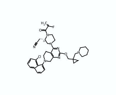 C=C(F)C(=O)N1CCN(c2nc(OCC3(CN4CCCCC4)CC3)nc3c2CCN(c2cccc4cccc(Cl)c24)C3)C[C@@H]1CC#N